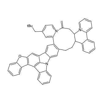 C=C1CC2C(CCc3cc4c(cc3-c3cc(CC(C)(C)C)cc[n+]31)c1cc3oc5ccccc5c3c3c5ccccc5n4c13)c1ccccc1-c1cccc[n+]12